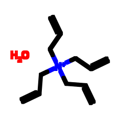 C=CC[N+](CC=C)(CC=C)CC=C.O